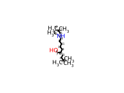 CC(C)(C)CC[C@H](CO)CCCCCNCC(C)(C)C